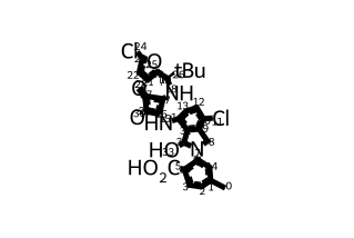 Cc1ccc(C(=O)O)c(N2Cc3c(Cl)ccc(Nc4c(N[C@@H](c5ccc(Cl)o5)C(C)(C)C)c(=O)c4=O)c3C2O)c1